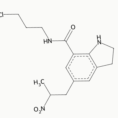 CC(Cc1cc2c(c(C(=O)NCCCCl)c1)NCC2)[N+](=O)[O-]